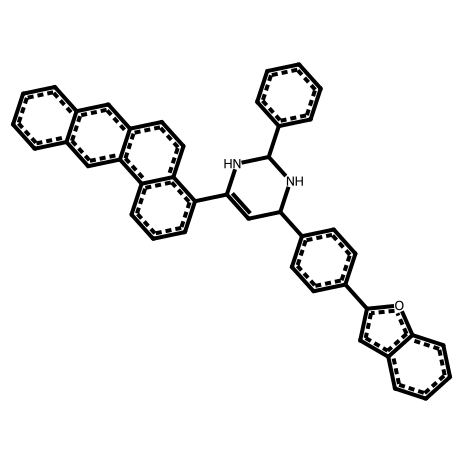 C1=C(c2cccc3c2ccc2cc4ccccc4cc23)NC(c2ccccc2)NC1c1ccc(-c2cc3ccccc3o2)cc1